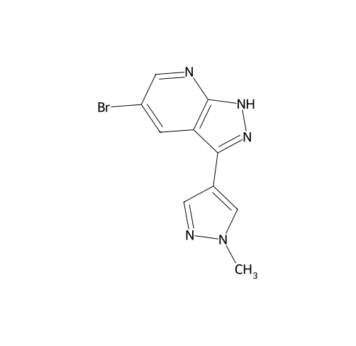 Cn1cc(-c2n[nH]c3ncc(Br)cc23)cn1